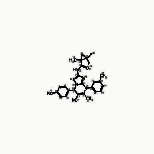 CC1=C(C#N)[C@@H](c2ccc(C#N)cc2)n2nc(NC(=O)C3(C)CC3(F)F)nc2N1c1cccc(C(F)(F)F)c1